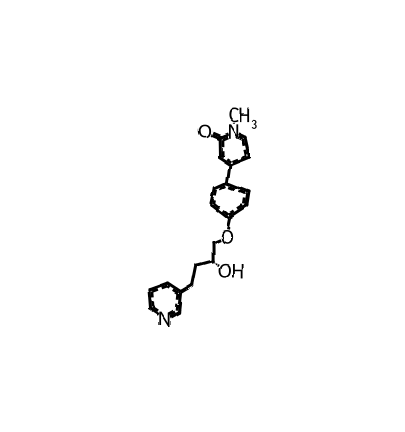 Cn1ccc(-c2ccc(OC[C@H](O)CCc3cccnc3)cc2)cc1=O